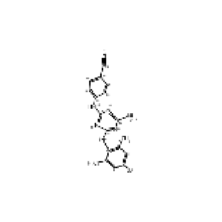 Cc1cc(Br)cc(C)c1Nc1nc(N)nc(Nc2ccc(C#N)cc2)n1